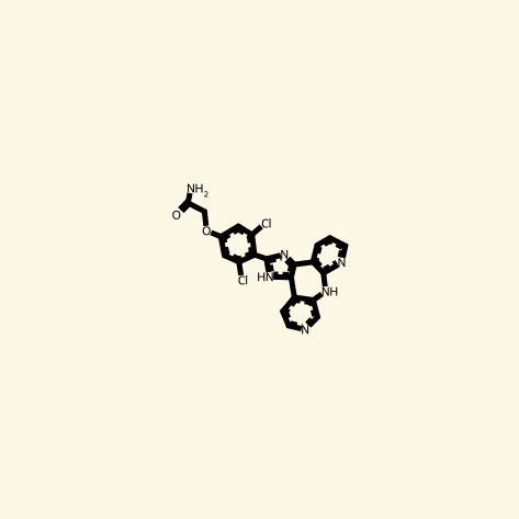 NC(=O)COc1cc(Cl)c(-c2nc3c([nH]2)-c2ccncc2Nc2ncccc2-3)c(Cl)c1